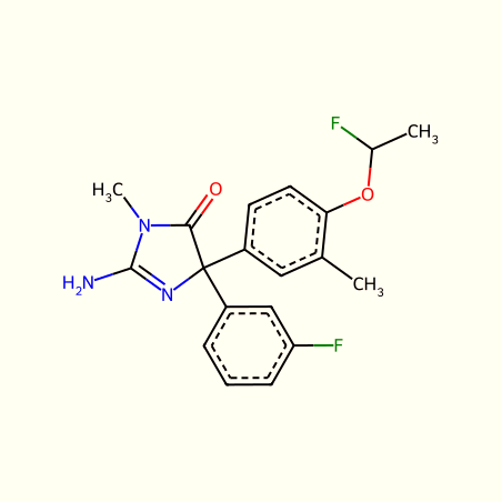 Cc1cc(C2(c3cccc(F)c3)N=C(N)N(C)C2=O)ccc1OC(C)F